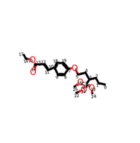 CCCC(CCOc1ccc(/C=C/C(=O)OCC)cc1)[Si](OC)(OC)OC